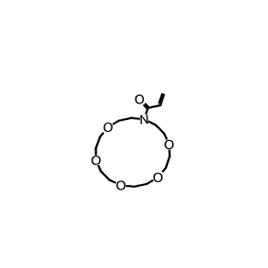 C=CC(=O)N1CCOCCOCCOCCOCCOCC1